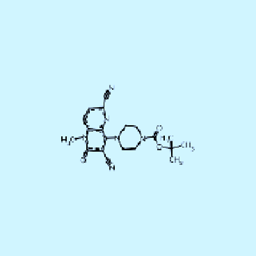 Cn1c(=O)c(C#N)c(N2CCN(C(=O)OC(C)(C)C)CC2)c2nc(C#N)ccc21